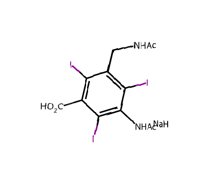 CC(=O)NCc1c(I)c(NC(C)=O)c(I)c(C(=O)O)c1I.[NaH]